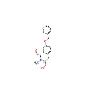 CN(CC=O)[C@H](CO)Cc1ccc(OCc2ccccc2)cc1